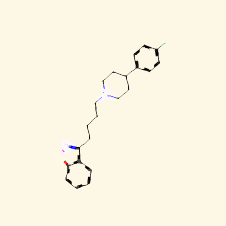 Fc1ccc(C2CCN(CCCCc3noc4ccccc34)CC2)cc1